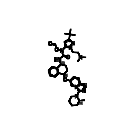 C[C@H]1CCCCN1c1nnc2ccc(O[C@@H]3CC[C@H](NC(=O)N(OC=O)c4cc(C(C)(C)C)nn4CCN(C)C)c4ccccc43)cn12